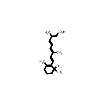 CC1=C(/C=C/C(C)=C/C=C/C(C)CC(=O)O)C(C)(C)CCC1